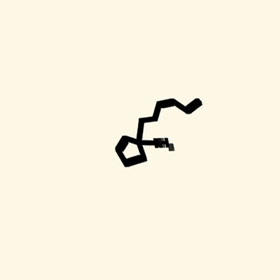 C=C/C=C\CCC1(N)C=CC=C1